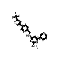 Nc1nc(NCc2ccc(-c3noc(C(F)(F)F)n3)cn2)cc(-c2cccnc2)n1